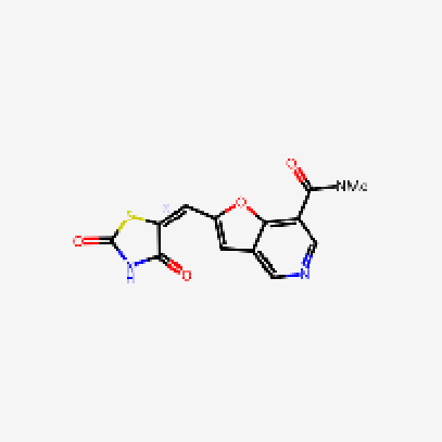 CNC(=O)c1cncc2cc(/C=C3/SC(=O)NC3=O)oc12